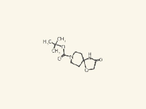 CC(C)(C)OC(=O)N1CCC2(CC1)NC(=O)CO2